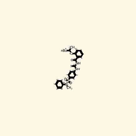 CCCCC(C)Oc1ccccc1C(=O)NC(=S)Nc1ccc(S(=O)(=O)N(C)c2ccccc2)cc1